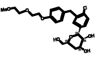 COCCOCCOc1ccc(Cc2cc([C@H]3O[C@H](CO)C[C@H](O)[C@H]3O)ccc2Cl)cc1